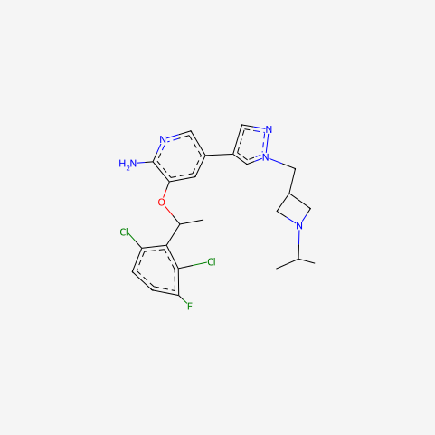 CC(Oc1cc(-c2cnn(CC3CN(C(C)C)C3)c2)cnc1N)c1c(Cl)ccc(F)c1Cl